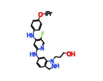 CC(C)Oc1ccc(Nc2cc(Nc3ccc4c(c3)N(CCCO)NC4)ncc2F)cc1